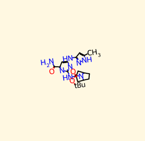 Cc1cc(Nc2cc(C(N)=O)nc(NC3CC4CCC(C3)N4C(=O)OC(C)(C)C)n2)n[nH]1